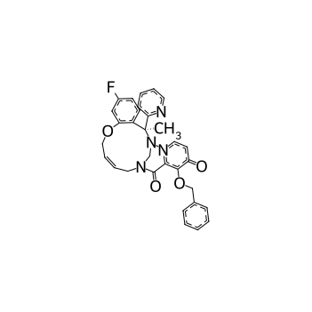 C[C@@]1(c2ccccn2)c2ccc(F)cc2OC/C=C\CN2CN1n1ccc(=O)c(OCc3ccccc3)c1C2=O